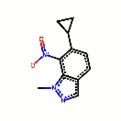 Cn1ncc2ccc(C3CC3)c([N+](=O)[O-])c21